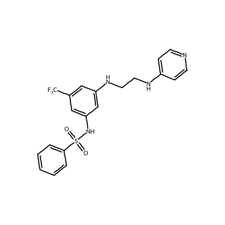 O=S(=O)(Nc1cc(NCCNc2ccncc2)cc(C(F)(F)F)c1)c1ccccc1